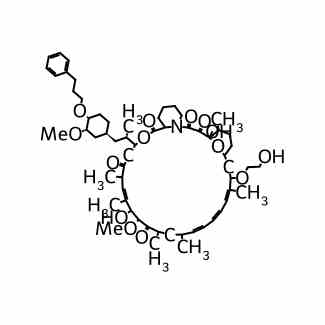 COC1C(=O)C(C)CC(C)C=CC=CC=C(C)C(OCCO)CC2CCC(C)C(O)(O2)C(=O)C(=O)N2CCCCC2C(=O)OC([C@H](C)C[C@@H]2CC[C@@H](OCCCc3ccccc3)[C@H](OC)C2)CC(=O)C(C)C=C(C)C1O